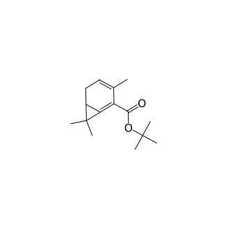 CC1=CCC2C(=C1C(=O)OC(C)(C)C)C2(C)C